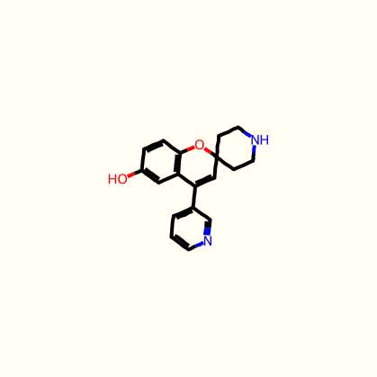 Oc1ccc2c(c1)C(c1cccnc1)=CC1(CCNCC1)O2